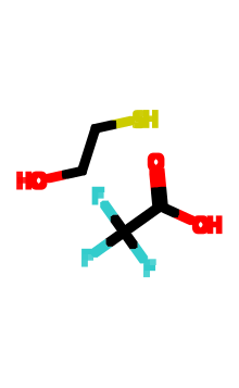 O=C(O)C(F)(F)F.OCCS